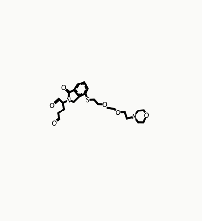 O=CCCC(C=O)N1Cc2c(SCCOCCOCCN3CCOCC3)cccc2C1=O